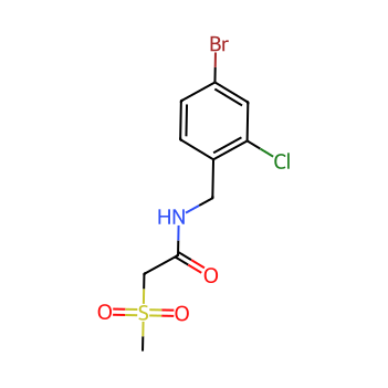 CS(=O)(=O)CC(=O)NCc1ccc(Br)cc1Cl